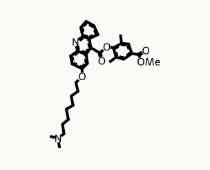 COC(=O)c1cc(C)c(OC(=O)c2c3ccccc3nc3ccc(OCCCCCCCCN(C)C)cc23)c(C)c1